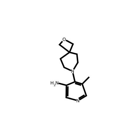 Cc1cncc(N)c1N1CCC2(CC1)COC2